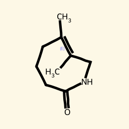 C/C1=C(/C)CNC(=O)CCC1